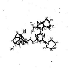 O[C@]12CC3C[C@H](C1)C(CCCc1cc(N4CCOCC4)nc(-n4c(C(F)F)nc5ccccc54)n1)[C@@H](C3)C2